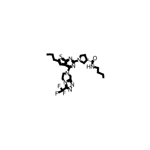 CCCCNC(=O)[C@H]1CCN(c2nc(N3CCn4c(nnc4C(F)(F)F)C3)c3cc(CCC)sc3n2)C1